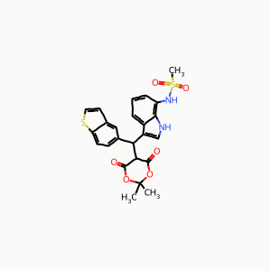 CC1(C)OC(=O)C(C(c2ccc3sccc3c2)c2c[nH]c3c(NS(C)(=O)=O)cccc23)C(=O)O1